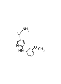 COc1cccc(Nc2ccc([C@@H]3C[C@H]3N)cn2)c1